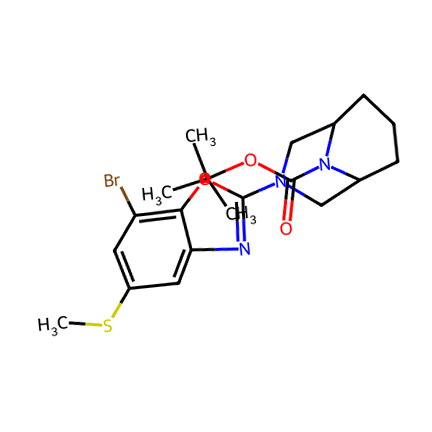 CSc1cc(Br)c2oc(N3CC4CCCC(C3)N4C(=O)OC(C)(C)C)nc2c1